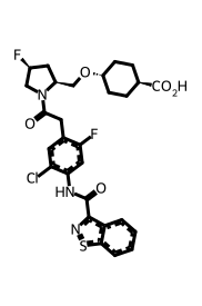 O=C(Nc1cc(F)c(CC(=O)N2C[C@@H](F)C[C@H]2CO[C@H]2CC[C@H](C(=O)O)CC2)cc1Cl)c1nsc2ccccc12